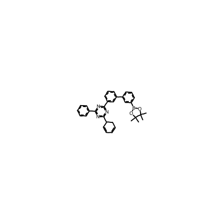 CC1(C)OB(c2cccc(-c3cccc(-c4nc(-c5ccccc5)nc(C5C=CC=CC5)n4)c3)c2)OC1(C)C